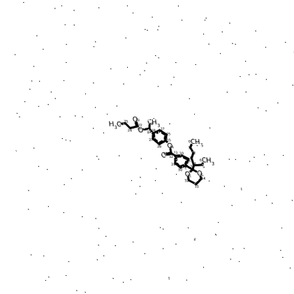 CCCCC(CC)C1(c2ccc(C(=O)Oc3ccc(C(C)OC(=O)CCC)cc3)cc2)OCCCO1